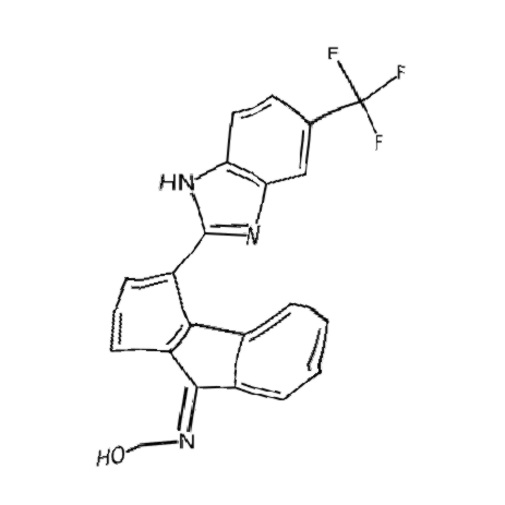 O/N=C1/c2ccccc2-c2c1cccc2-c1nc2cc(C(F)(F)F)ccc2[nH]1